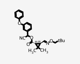 CC(C)(C)CON=C[C@@H]1[C@@H](C(=O)OC(C#N)c2cccc(Oc3ccccc3)c2)C1(C)C